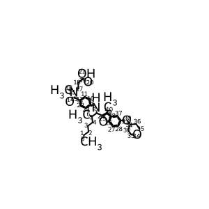 CCCCCC(C)C(Nc1ccc(C(=O)N(C)CCC(=O)O)cc1)c1oc2ccc(OC3CCOCC3)cc2c1C